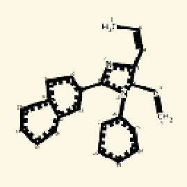 C=Nc1c(/C=C\C)nc(-c2ccc3ccccc3c2)n1-c1ccccc1